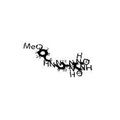 COc1ccc(CCNc2ccc(-c3nc4[nH]c(=O)[nH]c(=O)c4[nH]3)cn2)cc1